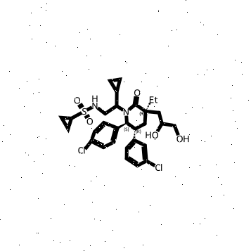 CC[C@]1(CC(O)CO)C[C@H](c2cccc(Cl)c2)[C@@H](c2ccc(Cl)cc2)N(C(CNS(=O)(=O)C2CC2)C2CC2)C1=O